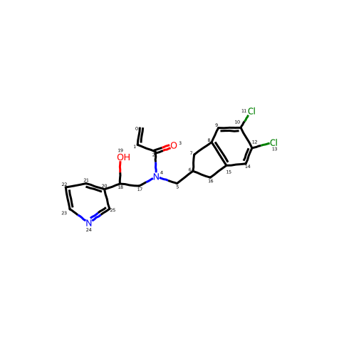 C=CC(=O)N(CC1Cc2cc(Cl)c(Cl)cc2C1)CC(O)c1cccnc1